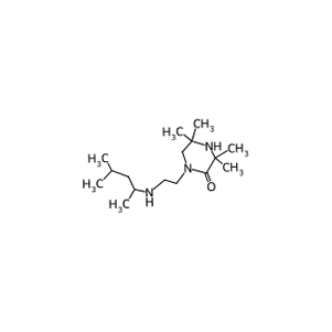 CC(C)CC(C)NCCN1CC(C)(C)NC(C)(C)C1=O